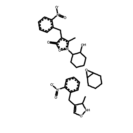 C1CCC2OC2C1.CC1NOC=C1Cc1ccccc1[N+](=O)[O-].Cc1c(Cc2ccccc2[N+](=O)[O-])c(=O)on1C1CCCCC1O